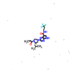 C=CC(=O)N1CCN(c2cnc3[nH]cc(C(=O)NCCC(F)(F)F)c3n2)C[C@@H]1CC(C)C